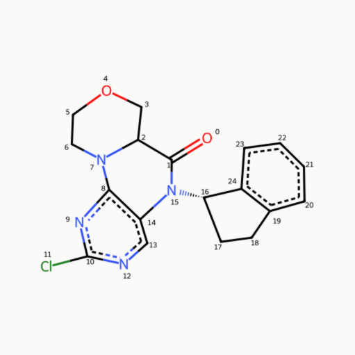 O=C1C2COCCN2c2nc(Cl)ncc2N1[C@H]1CCc2ccccc21